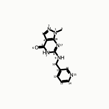 Cn1ncc2c(=O)[nH]c(NCc3cccnc3)nc21